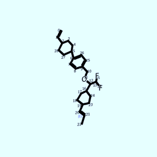 C=CC1CCC(c2ccc(COC(C(F)F)C3CCC(/C=C/C)CC3)cc2)CC1